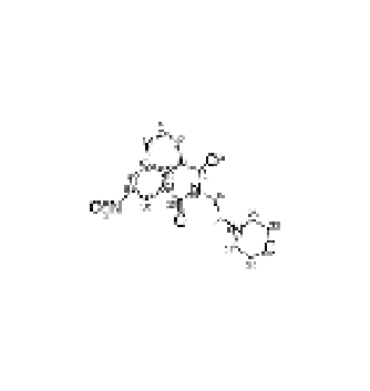 O=C1c2cccc3cc([N+](=O)[O-])cc(c23)C(=O)N1CCN1CCOCC1